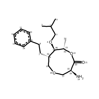 CC(C)CO[C@@H]1[C@@H](CCc2ccccc2)COC[C@H](N)C(=O)O[C@H]1C